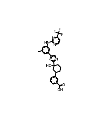 Cc1cc(Nc2nccc(C(F)(F)F)n2)cc(-c2cnc(C3(O)CCCC(c4cccc(C(=O)O)c4)C3)s2)c1